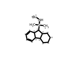 CC(C)(C)N[Si](C)(C)C1C2C=CC=CC2C2CCCCC21